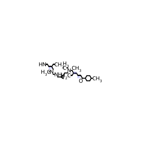 C=C/C(=C\C=N)CN(C)CNCC1CC1CCN(CC)C(C)/C(C=C)=C/C=C/C(=O)C1CCC(C)CC1